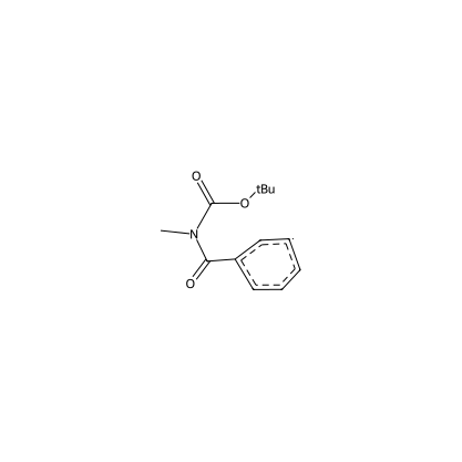 CN(C(=O)OC(C)(C)C)C(=O)c1c[c]ccc1